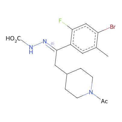 CC(=O)N1CCC(C/C(=N\NC(=O)O)c2cc(C)c(Br)cc2F)CC1